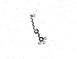 COc1cc(/C=C/c2cc[n+](CCCCCCSC(C)=O)cc2)cc(OC)c1OC